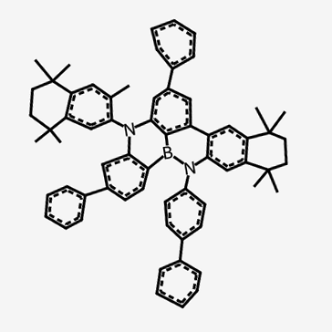 Cc1cc2c(cc1N1c3cc(-c4ccccc4)ccc3B3c4c(cc(-c5ccccc5)cc41)-c1cc4c(cc1N3c1ccc(-c3ccccc3)cc1)C(C)(C)CCC4(C)C)C(C)(C)CCC2(C)C